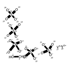 O=CO.O=S(=O)([O-])[O-].O=S(=O)([O-])[O-].O=S(=O)([O-])[O-].O=S(=O)([O-])[O-].O=S(=O)([O-])[O-].[V+5].[V+5]